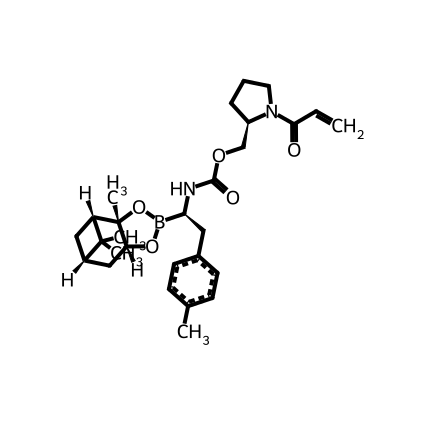 C=CC(=O)N1CCC[C@@H]1COC(=O)N[C@@H](Cc1ccc(C)cc1)B1O[C@@H]2C[C@@H]3C[C@@H](C3(C)C)[C@]2(C)O1